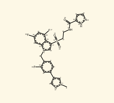 Cn1cc(-c2ccc(Cn3cc(S(=O)(=O)CCNC(=O)c4ccn[nH]4)c4c(F)cc(F)cc43)c(F)c2)cn1